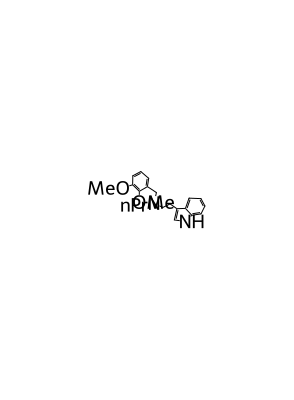 CCCN(CCc1c[nH]c2ccccc12)Cc1cccc(OC)c1OC